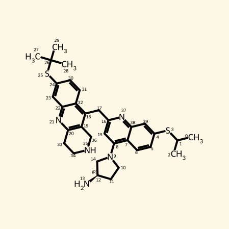 CC(C)Sc1ccc2c(N3CC[C@@H](N)C3)cc(Cc3c4c(nc5cc(SC(C)(C)C)ccc35)CCNC4)nc2c1